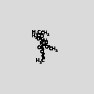 CCCCOCC(=O)/C(=N/NC(=O)OC(C)(C)C)C(=O)OCC